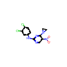 O=[N+]([O-])c1cnc(Nc2ccc(Cl)c(Cl)c2)nc1N1CC1